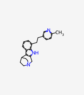 Cc1ccc(CCc2cccc3c4c([nH]c23)CN2CCC4CC2)cn1